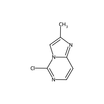 Cc1cn2c(Cl)nccc2n1